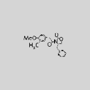 COc1ccc(CC(=O)N2C(=O)OCC2Cc2ccccc2)cc1C